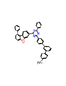 N#Cc1ccc(-c2cccc(-c3ccc(-c4nc(-c5ccccc5)nc(-c5ccc6c(c5)oc5cccc(-c7ccccc7)c56)n4)cc3)c2)cc1